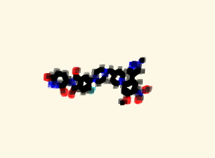 COc1cc(N2CCC(CN3CCN(c4cc5c(cc4F)C(=O)N(C4CCC(=O)NC4=O)C5=O)CC3)CC2)c(-c2cnn(C)c2)cc1[N+](=O)[O-]